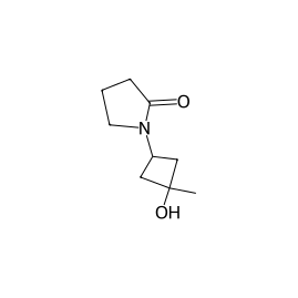 CC1(O)CC(N2CCCC2=O)C1